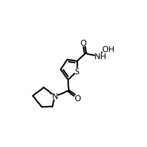 O=C(NO)c1ccc(C(=O)N2CCCC2)s1